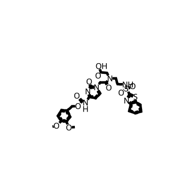 COc1ccc(COC(=O)Nc2ccn(CC(=O)N(CCNS(=O)(=O)c3nc4ccccc4s3)CC(=O)O)c(=O)n2)cc1OC